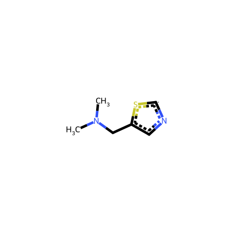 CN(C)Cc1cn[c]s1